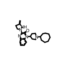 C=C1CCN(c2nc3ccccc3n(C3CCN(C4CCCCCCC4)CC3)c2=O)N1